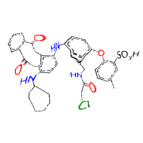 Cc1ccc(Oc2ccc(Nc3ccc(NC4CCCCC4)c4c3C(=O)c3ccccc3C4=O)cc2CNC(=O)CCl)c(S(=O)(=O)O)c1